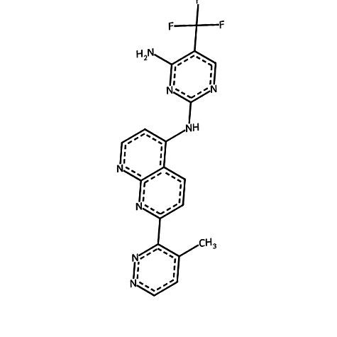 Cc1ccnnc1-c1ccc2c(Nc3ncc(C(F)(F)F)c(N)n3)ccnc2n1